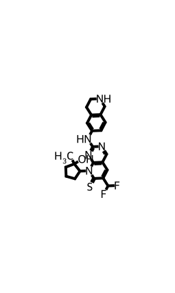 CC1(O)CCCC1n1c(=S)c(C(F)F)cc2cnc(Nc3ccc4c(c3)CCNC4)nc21